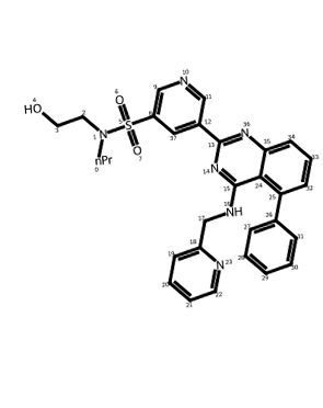 CCCN(CCO)S(=O)(=O)c1cncc(-c2nc(NCc3ccccn3)c3c(-c4ccccc4)cccc3n2)c1